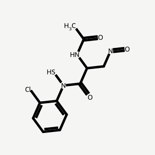 CC(=O)NC(CN=O)C(=O)N(S)c1ccccc1Cl